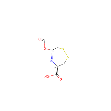 O=COC1=N[C@H](C(=O)O)CSSC1